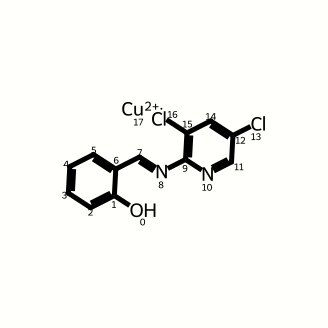 Oc1ccccc1C=Nc1ncc(Cl)cc1Cl.[Cu+2]